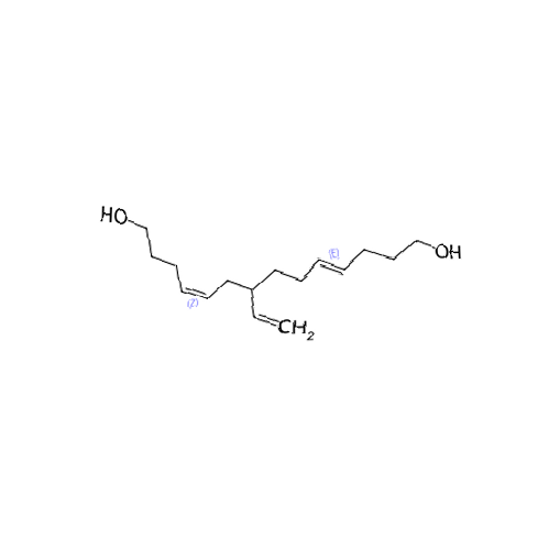 C=CC(C/C=C\CCCO)CC/C=C/CCCO